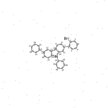 Brc1ccccc1-c1ccc2c3cc(-c4ccccc4)ccc3n(-c3ccccc3)c2c1